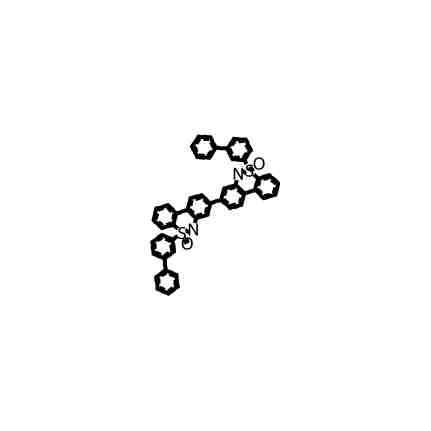 O=S1(c2cccc(-c3ccccc3)c2)=Nc2cc(-c3ccc4c(c3)N=S(=O)(c3cccc(-c5ccccc5)c3)c3ccccc3-4)ccc2-c2ccccc21